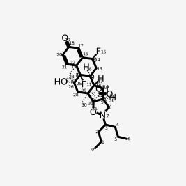 CCCC(CCC)N1C[C@@H]2C[C@H]3[C@@H]4C[C@H](F)C5=CC(=O)C=C[C@]5(C)[C@@]4(F)[C@@H](O)C[C@]3(C)[C@]2(C(=O)O)O1